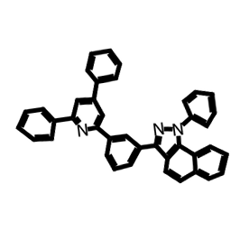 c1ccc(-c2cc(-c3ccccc3)nc(-c3cccc(-c4nn(-c5ccccc5)c5c4ccc4ccccc45)c3)c2)cc1